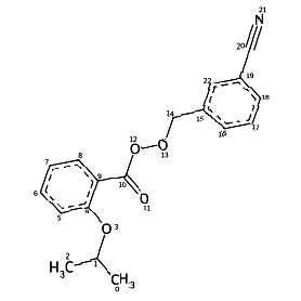 CC(C)Oc1ccccc1C(=O)OOCc1cccc(C#N)c1